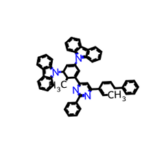 C/C=C(\C=C/Cc1ccccc1)c1cc(C2=CC(n3c4ccccc4c4ccccc43)=CC(n3c4ccccc4c4ccccc43)C2C)nc(-c2ccccc2)n1